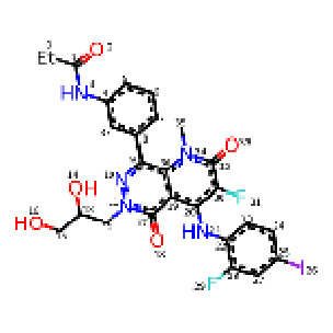 CCC(=O)Nc1cccc(-c2nn(CC(O)CO)c(=O)c3c(Nc4ccc(I)cc4F)c(F)c(=O)n(C)c23)c1